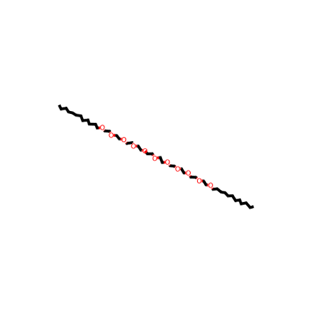 CCCCCCCCCCCCOCCOCCOCCOCCOCCOCCOCCOCCOCCOCCOCCCCCCCCCCCC